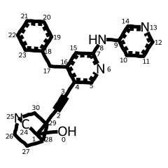 OC1(C#Cc2cnc(Nc3cccnc3)cc2Cc2ccccc2)CN2CCC1CC2